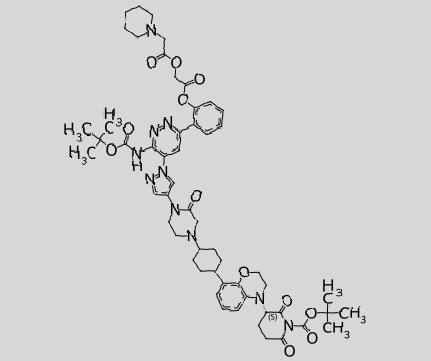 CC(C)(C)OC(=O)Nc1nnc(-c2ccccc2OC(=O)COC(=O)CN2CCCCC2)cc1-n1cc(N2CCN(C3CCC(c4cccc5c4OCCN5[C@H]4CCC(=O)N(C(=O)OC(C)(C)C)C4=O)CC3)CC2=O)cn1